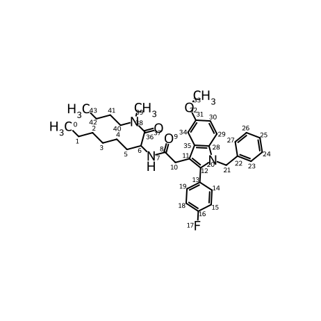 CCCCCCC(NC(=O)Cc1c(-c2ccc(F)cc2)n(Cc2ccccc2)c2ccc(OC)cc12)C(=O)N(C)CCCC